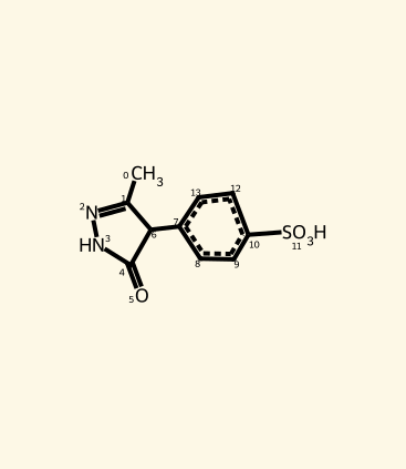 CC1=NNC(=O)C1c1ccc(S(=O)(=O)O)cc1